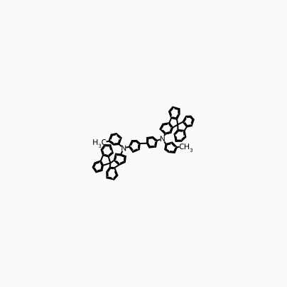 Cc1cccc(N(c2ccc(-c3ccc(N(c4cccc(C)c4)c4ccc5c(c4)C4(c6ccccc6-c6ccccc64)c4ccccc4-5)cc3)cc2)c2ccc3c(c2)C2(c4ccccc4-c4ccccc42)c2ccccc2-3)c1